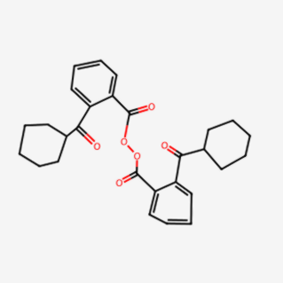 O=C(OOC(=O)c1ccccc1C(=O)C1CCCCC1)c1ccccc1C(=O)C1CCCCC1